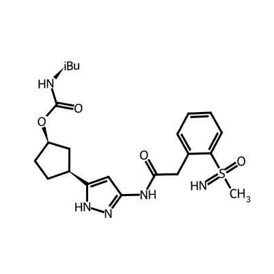 CC[C@H](C)NC(=O)O[C@@H]1CC[C@H](c2cc(NC(=O)Cc3ccccc3S(C)(=N)=O)n[nH]2)C1